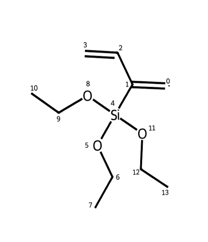 [CH]=C(C=C)[Si](OCC)(OCC)OCC